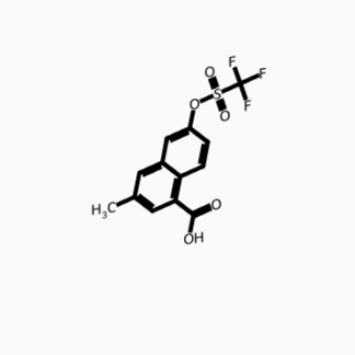 Cc1cc(C(=O)O)c2ccc(OS(=O)(=O)C(F)(F)F)cc2c1